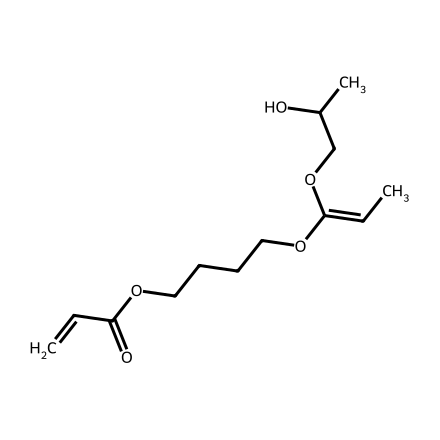 C=CC(=O)OCCCCOC(=CC)OCC(C)O